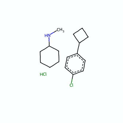 CNC1CCCCC1.Cl.Clc1ccc([C]2CCC2)cc1